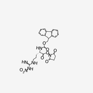 N=C(NCCC[C@H](NC(=O)OCC1c2ccccc2-c2ccccc21)C(=O)ON1C(=O)CCC1=O)N[N+](=O)[O-]